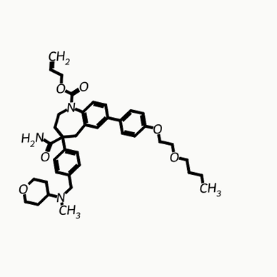 C=CCOC(=O)N1CCC(C(N)=O)(c2ccc(CN(C)C3CCOCC3)cc2)Cc2cc(-c3ccc(OCCOCCCC)cc3)ccc21